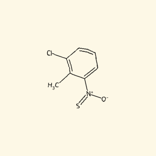 Cc1c(Cl)cccc1[N+]([O-])=S